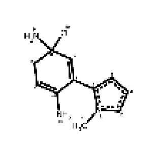 Cn1cccc1C1=CC(N)(Cl)CC=C1N